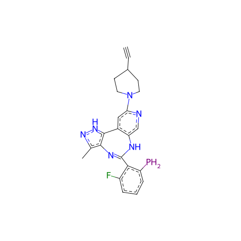 C#CC1CCN(c2cc3c(cn2)NC(c2c(F)cccc2P)=Nc2c(C)n[nH]c2-3)CC1